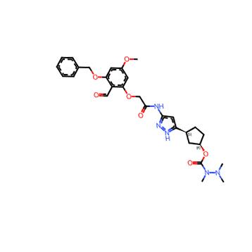 COc1cc(OCC(=O)Nc2cc([C@H]3CC[C@@H](OC(=O)N(C)N(C)C)C3)[nH]n2)c(C=O)c(OCc2ccccc2)c1